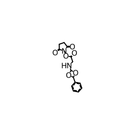 O=C(CNC1OC(c2ccccc2)O1)ON1C(=O)CCC1=O